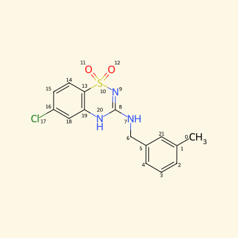 Cc1cccc(CNC2=NS(=O)(=O)c3ccc(Cl)cc3N2)c1